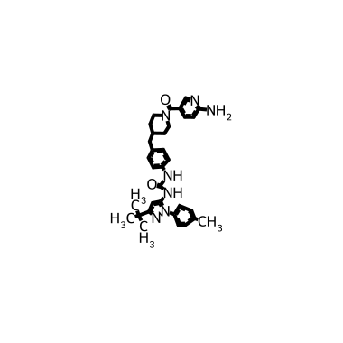 Cc1ccc(-n2nc(C(C)(C)C)cc2NC(=O)Nc2ccc(CC3CCN(C(=O)c4ccc(N)nc4)CC3)cc2)cc1